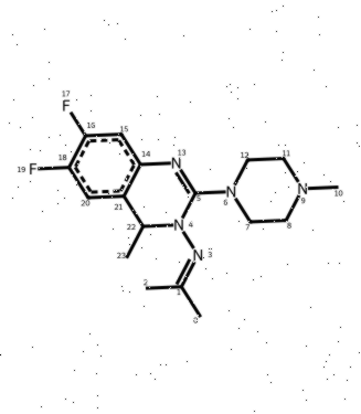 CC(C)=NN1C(N2CCN(C)CC2)=Nc2cc(F)c(F)cc2C1C